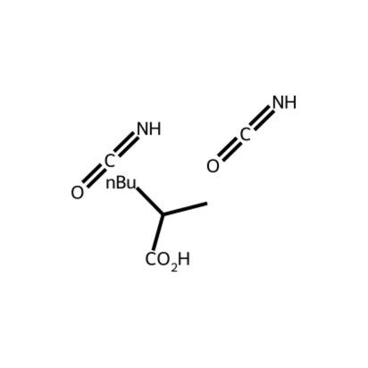 CCCCC(C)C(=O)O.N=C=O.N=C=O